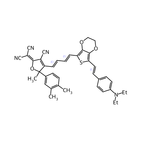 CCN(CC)c1ccc(/C=C/c2sc(/C=C/C=C/C3=C(C#N)C(=C(C#N)C#N)OC3(C)c3ccc(C)c(C)c3)c3c2OCCO3)cc1